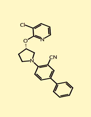 N#Cc1cc(-c2ccccc2)ccc1N1CC[C@H](Oc2ncccc2Cl)C1